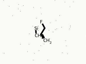 C=CCF.C[Si]